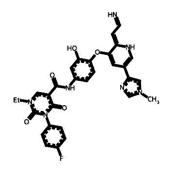 CCn1cc(C(=O)Nc2ccc(OC3=CC(c4cn(C)cn4)=CN/C3=C\C=N)c(O)c2)c(=O)n(-c2ccc(F)cc2)c1=O